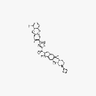 Cc1cc(Oc2c(F)cccc2F)ncc1-n1ncc(C(=O)c2cc3cc(OC4CCN(C5CCC5)CC4)c(Br)cc3[nH]2)n1